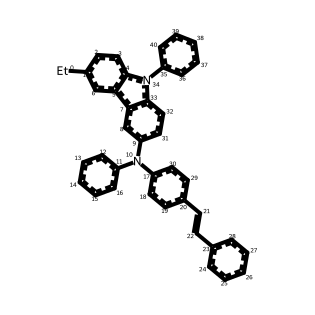 CCc1ccc2c(c1)c1cc(N(c3ccccc3)c3ccc(/C=C/c4ccccc4)cc3)ccc1n2-c1ccccc1